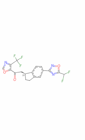 O=C(C[C@@H]1CCc2cc(-c3noc(C(F)F)n3)ccc21)c1ocnc1C(F)(F)F